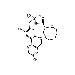 N#Cc1ccc2c(c1)COc1cc(CC([SiH3])(C#N)NC(=O)[C@@H]3CCCCCCO3)c(Cl)cc1-2